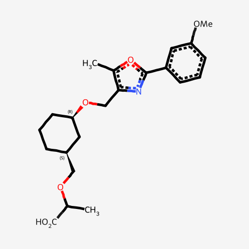 COc1cccc(-c2nc(CO[C@@H]3CCC[C@H](COC(C)C(=O)O)C3)c(C)o2)c1